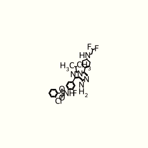 CC(C)c1nc(-c2ccc(NS(=O)(=O)c3ccccc3Cl)c(F)c2)c2c(N)ncc(C3=CCC(NCC(F)F)CC3)n12